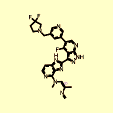 C=N/C(C)=C\N(C)c1nccc2[nH]c(-c3n[nH]c4ncc(-c5cncc(CN6CCC(F)(F)C6)c5)c(F)c34)nc12